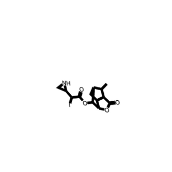 CC1C2CC3C(OC(=O)C13)C2OC(=O)C(I)C1CN1